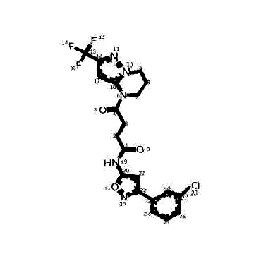 O=C(CCC(=O)N1CCCn2nc(C(F)(F)F)cc21)Nc1cc(-c2cccc(Cl)c2)no1